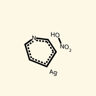 O=[N+]([O-])O.[Ag].c1ccncc1